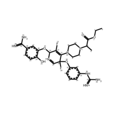 CCOC(=O)C(C)N1CCN(C2=C(F)C(Oc3cc(C(=N)N)ccc3O)N=CC2(F)Oc2cccc(NC(=N)N)c2)CC1